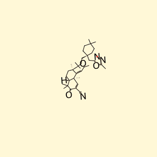 CC(=O)/C=C1/[C@@]2(C)C=C(C#N)C(=O)C(C)(C)[C@@H]2CC[C@@]1(C)C(C)(C)CC[C@@]1(Cc2nnc(C)o2)CCC(C)(C)C[C@@H]1C